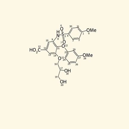 COc1ccc(S(=O)(=O)Nc2cc(C(=O)O)cc(OCC(O)CO)c2Oc2cccc(OC)c2)cc1